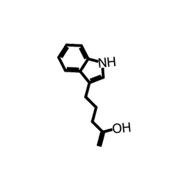 C=C(O)CCCc1c[nH]c2ccccc12